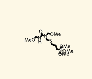 COCNC(=O)N(COC)CSCCC[Si](OC)(OC)OC